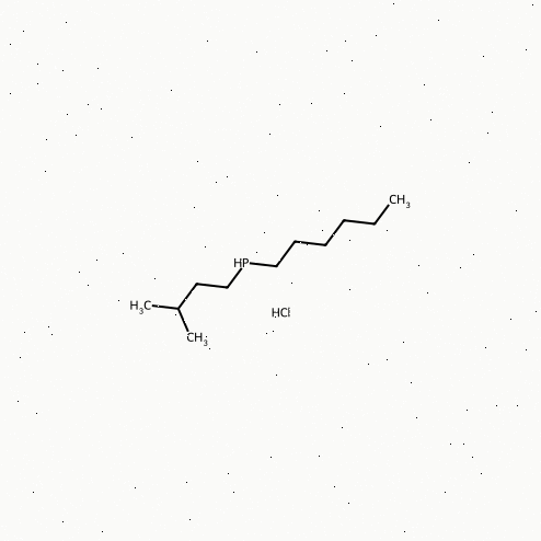 CCCCCCPCCC(C)C.Cl